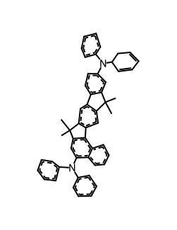 CC1(C)c2cc(N(c3ccccc3)C3C=CC=CC3)ccc2-c2cc3c(cc21)-c1c(cc(N(c2ccccc2)c2ccccc2)c2ccccc12)C3(C)C